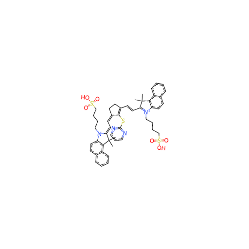 CC1(C)C(=CC=C2CCC(C=CC3=[N+](CCCCS(=O)(=O)O)c4ccc5ccccc5c4C3(C)C)=C2Sc2ncccn2)N(CCCCS(=O)(=O)O)c2ccc3ccccc3c21